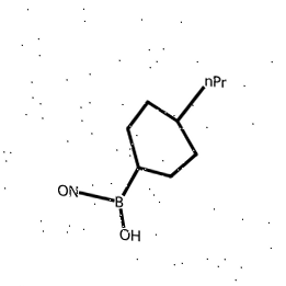 CCCC1CCC(B(O)N=O)CC1